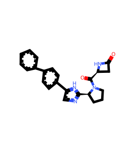 O=C1C[C@@H](C(=O)N2CCC[C@H]2c2ncc(-c3ccc(-c4ccccc4)cc3)[nH]2)N1